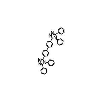 c1ccc(-c2nnc(-c3ccc(-c4ccc(-c5nnc(-c6ccccc6)n5-c5ccccc5)cc4)cc3)n2-c2ccccc2)cc1